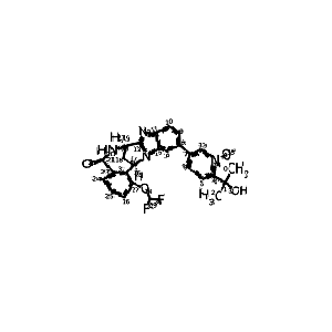 CC(C)(O)c1ccc(-c2ccc3nc4n(c3c2)[C@@H]2C[C@H]4NC(=O)c3cccc(OC(F)F)c32)c[n+]1[O-]